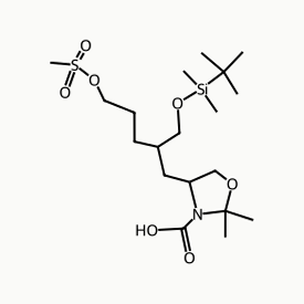 CC1(C)OCC(CC(CCCOS(C)(=O)=O)CO[Si](C)(C)C(C)(C)C)N1C(=O)O